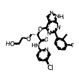 Cc1c(F)cccc1-c1nc(O[C@@H](COCCO)C(=O)Nc2ccc(Cl)cn2)c2cn[nH]c2n1